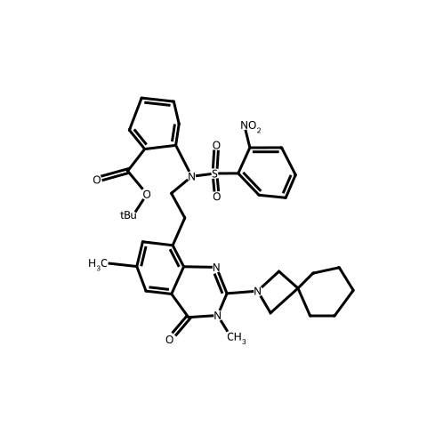 Cc1cc(CCN(c2ccccc2C(=O)OC(C)(C)C)S(=O)(=O)c2ccccc2[N+](=O)[O-])c2nc(N3CC4(CCCCC4)C3)n(C)c(=O)c2c1